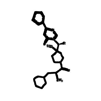 CC[C@@H](n1cnc(-c2ccccc2)cc1=O)C1(O)CCN(C(=O)C(C)CC2CCCCC2)CC1